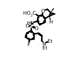 CCN(CC)C/C=C\c1cc(F)ccc1S(=O)(=O)Nc1ccc2c(c1C(=O)O)OC[C@]1(C)C[C@H]21